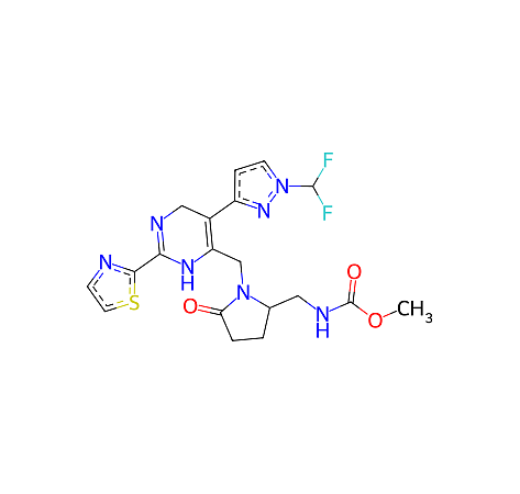 COC(=O)NCC1CCC(=O)N1CC1=C(c2ccn(C(F)F)n2)CN=C(c2nccs2)N1